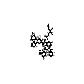 C#CCN(C)C(=O)CCC(=O)OCN(C(=O)C(CCc1ccccc1)NC(=O)CC1CNCCO1)C(CC(C)C)C(=O)NC(Cc1ccccc1)C(=O)NC(CC(C)C)C(=O)[C@@]1(C)CO1